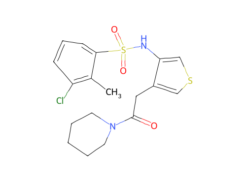 Cc1c(Cl)cccc1S(=O)(=O)Nc1cscc1CC(=O)N1CCCCC1